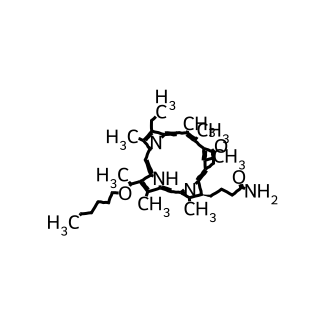 CCCCCCOC(C)c1c(C)c2cc3nc(c4c(C)c(c(C)c(C)cc5nc(cc1[nH]2)C(C)=C5CC)C(=O)C4)[C@@H](CCCC(N)=O)C3C